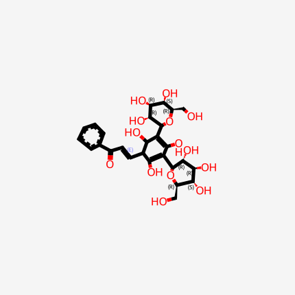 O=C(/C=C/C1C(O)=C(C2O[C@H](CO)[C@@H](O)[C@H](O)[C@H]2O)C(O)=C(C2O[C@H](CO)[C@@H](O)[C@H](O)[C@H]2O)C1O)c1ccccc1